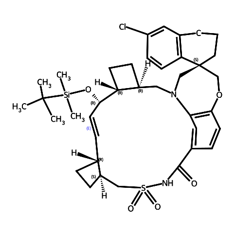 CC(C)(C)[Si](C)(C)O[C@H]1/C=C/[C@H]2CC[C@@H]2CS(=O)(=O)NC(=O)c2ccc3c(c2)N(C[C@@H]2CC[C@H]21)C[C@@]1(CCCc2cc(Cl)ccc21)CO3